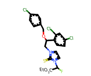 CCOC(=O)C(F)n1ccn(CC(OCc2ccc(Cl)cc2)c2ccc(Cl)cc2Cl)c1=S